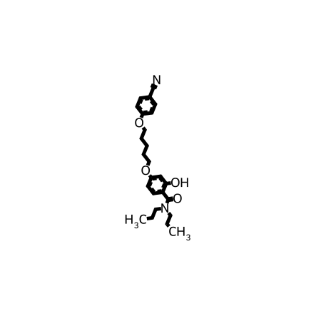 CCCN(CCC)C(=O)c1ccc(OCCCCCOc2ccc(C#N)cc2)cc1O